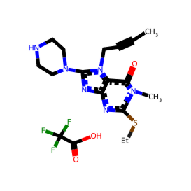 CC#CCn1c(N2CCNCC2)nc2nc(SCC)n(C)c(=O)c21.O=C(O)C(F)(F)F